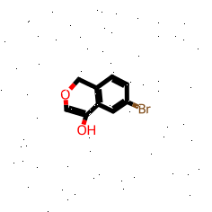 OC1=COCc2ccc(Br)cc21